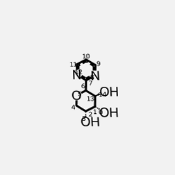 O[C@@H]1[C@H](O)COC(c2ncccn2)[C@H]1O